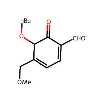 CCCCOC1C(=O)C(C=O)=CC=C1COC